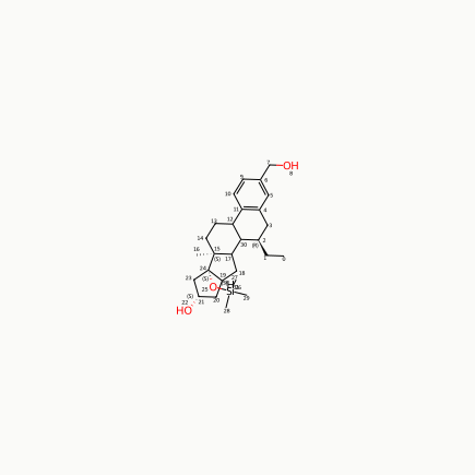 CC[C@@H]1Cc2cc(CO)ccc2C2CC[C@@]3(C)C(C[C@H]4C[C@H](O)C[C@]43O[Si](C)(C)C)C21